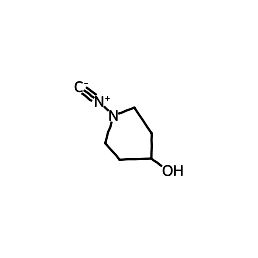 [C-]#[N+]N1CCC(O)CC1